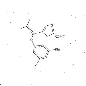 C[C](C)=[Zr]([O]c1cc(C)cc(C(C)(C)C)c1)[C]1=CC=CC1.Cl.Cl